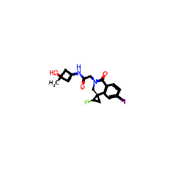 CC1(O)CC(NC(=O)CN2C[C@]3(C[C@H]3F)c3cc(I)ccc3C2=O)C1